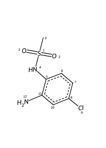 CS(=O)(=O)Nc1ccc(Cl)cc1N